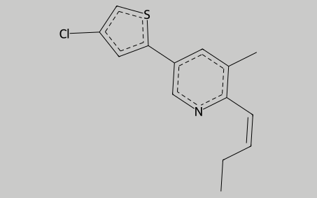 CC/C=C\c1ncc(-c2cc(Cl)cs2)cc1C